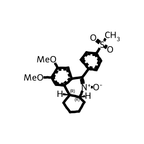 COc1cc2c(cc1OC)[C@H]1CCCC[C@H]1[N+]([O-])=C2c1ccc(S(C)(=O)=O)cc1